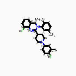 COc1ccc(C(F)(F)F)cc1N1[CH]c2cccc(F)c2N=C1C1CCN(c2ccc(F)c(C)c2)CC1